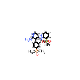 COc1cc(P(C)(C)=O)ccc1-c1c(Nc2ccccc2S(=O)(=O)C(C)C)ccnc1N